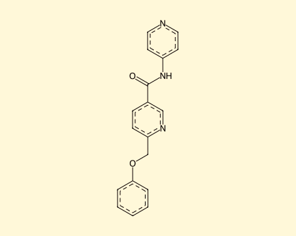 O=C(Nc1ccncc1)c1ccc(COc2ccccc2)nc1